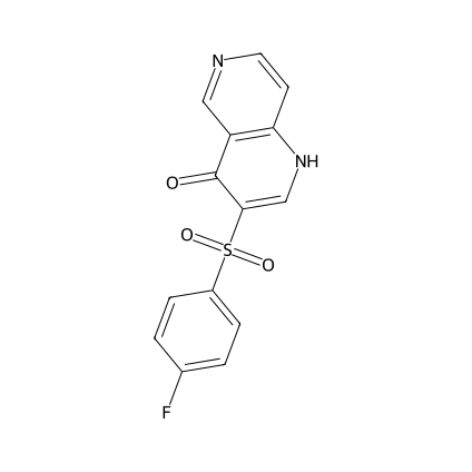 O=c1c(S(=O)(=O)c2ccc(F)cc2)c[nH]c2ccncc12